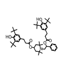 CC(C)(C)c1cc(CCC(=O)OC2CC(C)(C)N(CC(OC(=O)CCc3cc(C(C)(C)C)c(O)c(C(C)(C)C)c3)c3ccccc3)C(C)(C)C2)cc(C(C)(C)C)c1O